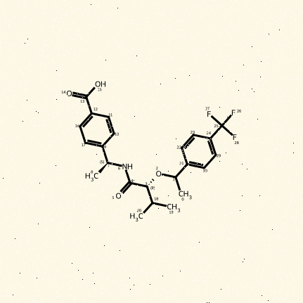 CC(O[C@@H](C(=O)N[C@@H](C)c1ccc(C(=O)O)cc1)C(C)C)c1ccc(C(F)(F)F)cc1